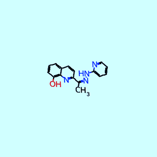 C/C(=N/Nc1ccccn1)c1ccc2cccc(O)c2n1